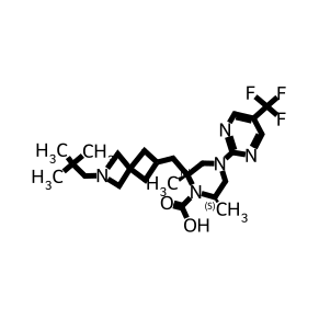 C[C@H]1CN(c2ncc(C(F)(F)F)cn2)C[C@@](C)(CC2CC3(C2)CN(CC(C)(C)C)C3)N1C(=O)O